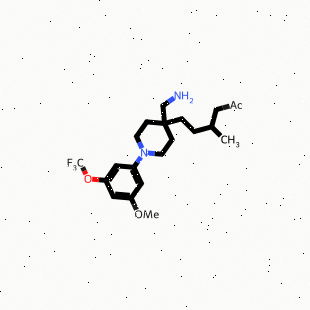 COc1cc(OC(F)(F)F)cc(N2CCC(CN)(CCC(C)CC(C)=O)CC2)c1